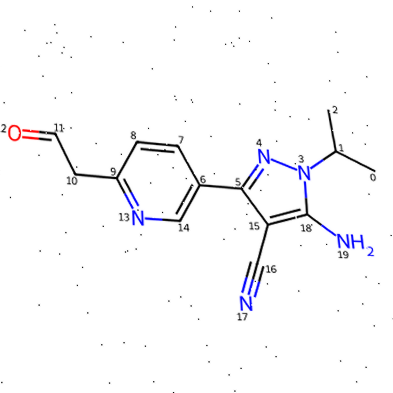 CC(C)n1nc(-c2ccc(CC=O)nc2)c(C#N)c1N